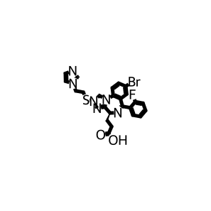 O=C(O)CC[C@@H]1N=C(c2ccccc2F)c2cc(Br)ccc2N2CN(SCCn3ccnc3)N=C12